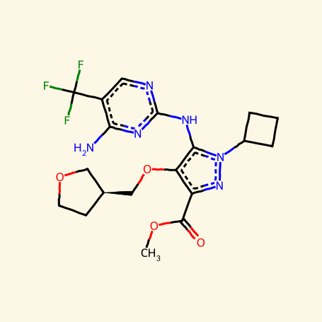 COC(=O)c1nn(C2CCC2)c(Nc2ncc(C(F)(F)F)c(N)n2)c1OC[C@H]1CCOC1